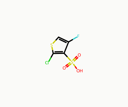 O=S(=O)(O)c1c(F)csc1Cl